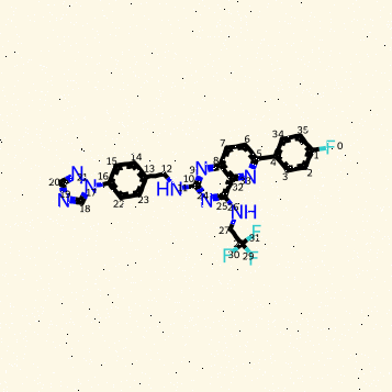 Fc1ccc(-c2ccc3nc(NCc4ccc(-n5cncn5)cc4)nc(NCC(F)(F)F)c3n2)cc1